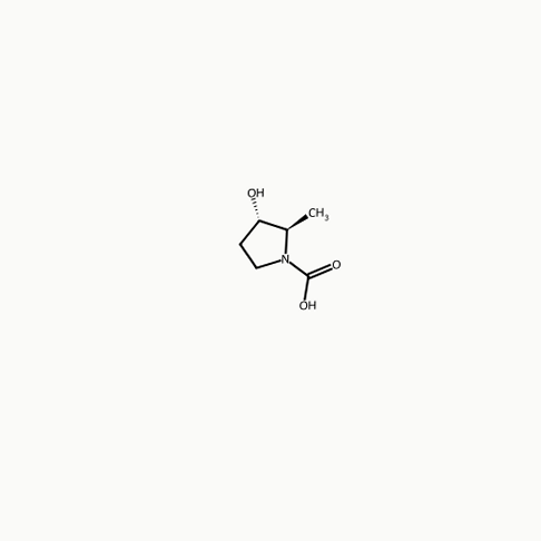 C[C@@H]1[C@@H](O)CCN1C(=O)O